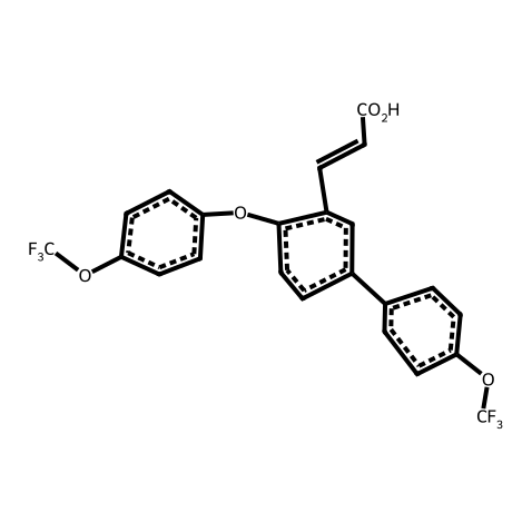 O=C(O)/C=C/c1cc(-c2ccc(OC(F)(F)F)cc2)ccc1Oc1ccc(OC(F)(F)F)cc1